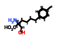 Cc1ccc(CCCCC(N)(CO)C(=O)O)cc1